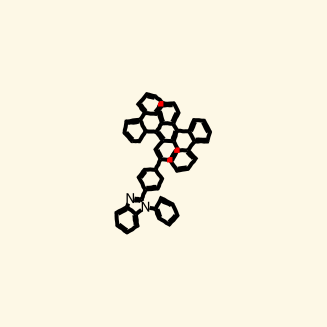 C1=CCCC(c2ccccc2-c2c3ccccc3c(C3CC=CC=C3c3ccccc3)c3cc(C4C=CC(c5nc6ccccc6n5-c5ccccc5)=CC4)ccc23)=C1